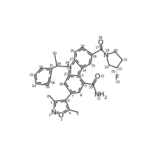 Cc1noc(C)c1-c1cc(C(N)=O)c2c3cc(C(=O)N4CC[C@H](F)C4)ccc3n(C(C)c3ccccc3)c2c1